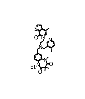 CCN1C(=O)C(C)(C)C(=O)N(C)c2cc(CN(CCn3cc(C)c4ccsc4c3=O)Cc3cnccc3C)ccc21